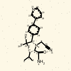 CC(C)C[C@@H](C(N)=O)N(CC#N)[C@@H](c1ccc(-c2cccnc2)cc1)C(F)(F)F